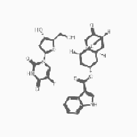 O=C(O[C@H]1C[C@@H]2C[C@@H]3C[C@H](C1)N2CC3=O)c1c[nH]c2ccccc12.O=c1[nH]c(=O)n([C@H]2C[C@H](O)[C@@H](CO)O2)cc1F